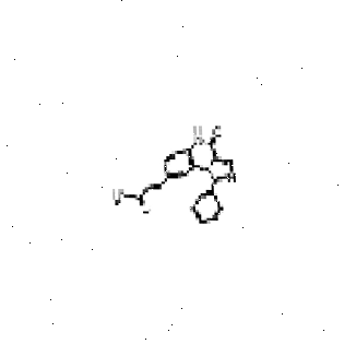 CNC(=O)/C=C/c1ccc2[nH]c(=O)c3cnc(-c4ccccc4)n3c2c1